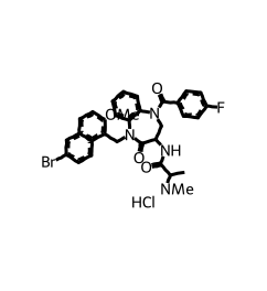 CNC(C)C(=O)NC1CN(C(=O)c2ccc(F)cc2)c2ccccc2N(Cc2c(OC)ccc3cc(Br)ccc23)C1=O.Cl